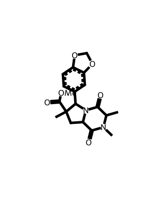 COC(=O)C1(C)CC2C(=O)N(C)C(C)C(=O)N2C1c1ccc2c(c1)OCO2